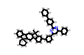 CC1(C)c2cc(-c3cccc(-c4cc(-c5ccccc5)nc(-c5ccc(-c6ccccc6)cc5)n4)c3)ccc2-c2cc3c(cc21)-c1ccccc1C31CCCCC1